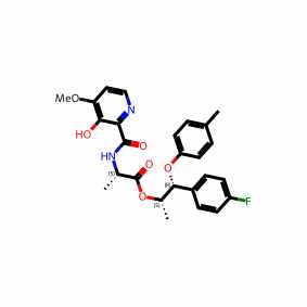 COc1ccnc(C(=O)N[C@@H](C)C(=O)O[C@@H](C)[C@H](Oc2ccc(C)cc2)c2ccc(F)cc2)c1O